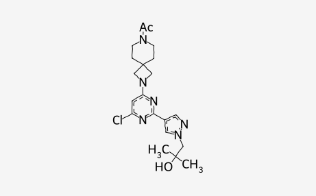 CC(=O)N1CCC2(CC1)CN(c1cc(Cl)nc(-c3cnn(CC(C)(C)O)c3)n1)C2